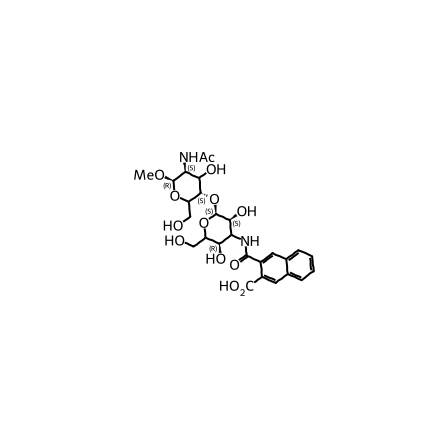 CO[C@@H]1OC(CO)[C@@H](O[C@@H]2OC(CO)[C@H](O)C(NC(=O)c3cc4ccccc4cc3C(=O)O)[C@@H]2O)C(O)[C@@H]1NC(C)=O